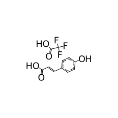 O=C(O)/C=C/c1ccc(O)cc1.O=C(O)C(F)(F)F